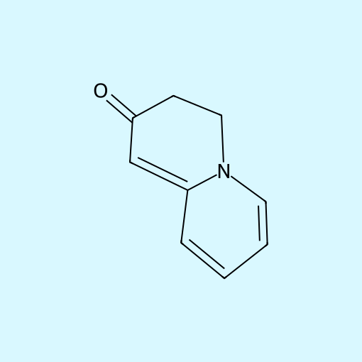 O=C1C=C2C=CC=CN2CC1